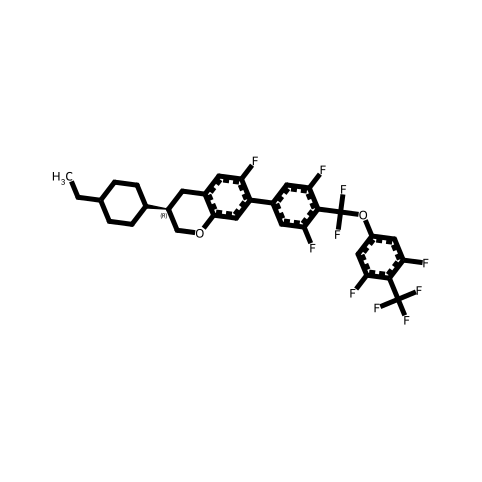 CCC1CCC([C@@H]2COc3cc(-c4cc(F)c(C(F)(F)Oc5cc(F)c(C(F)(F)F)c(F)c5)c(F)c4)c(F)cc3C2)CC1